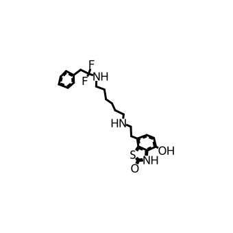 O=c1[nH]c2c(O)ccc(CCNCCCCCCNC(F)(F)Cc3ccccc3)c2s1